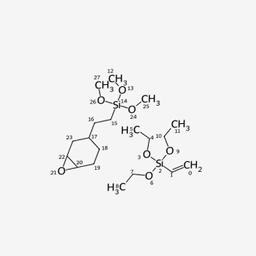 C=C[Si](OCC)(OCC)OCC.CO[Si](CCC1CCC2OC2C1)(OC)OC